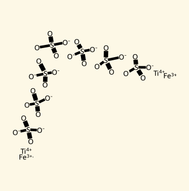 O=S(=O)([O-])[O-].O=S(=O)([O-])[O-].O=S(=O)([O-])[O-].O=S(=O)([O-])[O-].O=S(=O)([O-])[O-].O=S(=O)([O-])[O-].O=S(=O)([O-])[O-].[Fe+3].[Fe+3].[Ti+4].[Ti+4]